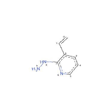 C=Cc1cccnc1NN